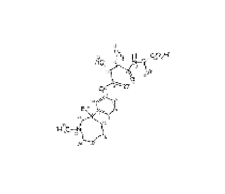 CCC1(c2cccc(OC(=O)[C@H](O)[C@H](C)C(=O)NC(C(=O)O)C(C)C)c2)CCCCN(C)C1